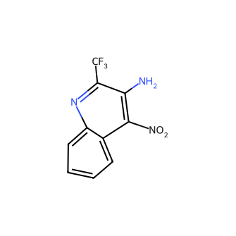 Nc1c(C(F)(F)F)nc2ccccc2c1[N+](=O)[O-]